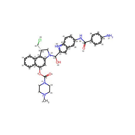 CN1CCN(C(=O)Oc2cc3c(c4ccccc24)[C@H](CCl)CN3C(O)c2cc3cc(NC(=O)c4ccc(N)cc4)ccc3[nH]2)CC1